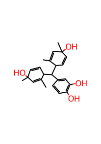 CC1=CC(C)(O)C=CC1C(c1ccc(O)c(O)c1)C1C=CC(C)(O)C=C1C